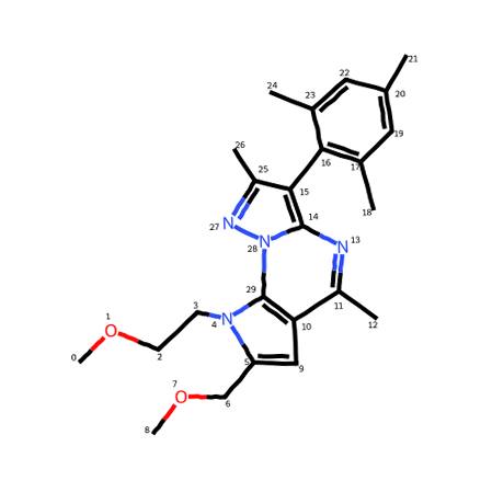 COCCn1c(COC)cc2c(C)nc3c(-c4c(C)cc(C)cc4C)c(C)nn3c21